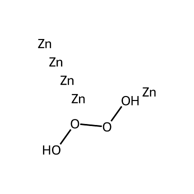 OOOO.[Zn].[Zn].[Zn].[Zn].[Zn]